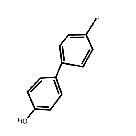 [C]c1ccc(-c2ccc(O)cc2)cc1